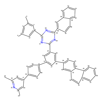 Cc1cc(C)cc(-c2nc(-c3cc(-c4ccc(-c5cc(C)nc(C)c5)cc4)cc(-c4ccc5c(ccc6ccccc65)c4)c3)nc(-c3ccc4ccccc4c3)n2)c1